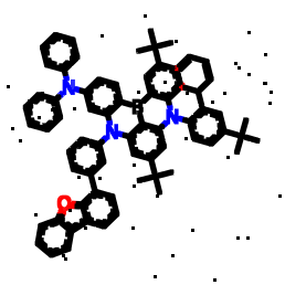 CC(C)(C)c1ccc2c(c1)B1c3ccc(N(c4ccccc4)c4ccccc4)cc3N(c3cccc(-c4cccc5c4oc4ccccc45)c3)c3cc(C(C)(C)C)cc(c31)N2c1ccc(C(C)(C)C)cc1C1C=CC=CC1